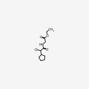 CCOC(=O)CNC(=O)C(Cl)C1CCCC1